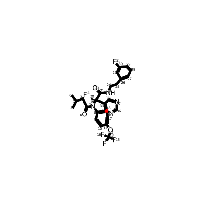 CC(C)[C@@H](F)C(=O)N(c1ccc(OC(F)(F)F)cc1)[C@](C)(C(=O)NCCc1cccc(F)c1)c1cncnc1